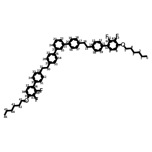 CCCCCCOc1ccc(-c2ccc(CCc3ccc(-c4cccc(-c5ccc(CCc6ccc(-c7ccc(OCCCCCC)c(F)c7F)cc6)cc5)c4)cc3)cc2)c(F)c1F